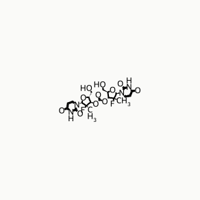 C[C@@]1(F)[C@H](OC(=O)O[C@@H]2[C@@H](CO)O[C@@H](n3ccc(=O)[nH]c3=O)[C@]2(C)F)[C@@H](CO)O[C@H]1n1ccc(=O)[nH]c1=O